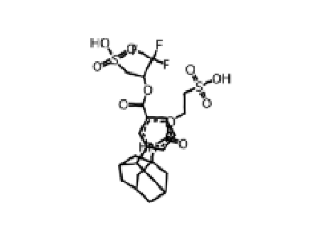 O=C(NC12CC3CC(C1)C(c1cccc(C(=O)OC(CS(=O)(=O)O)C(F)(F)F)c1)C(C3)C2)OCCS(=O)(=O)O